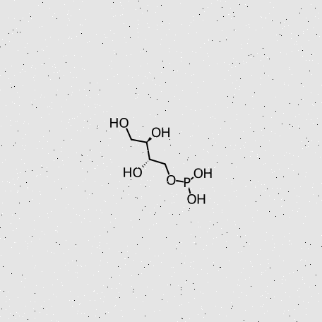 OC[C@@H](O)[C@@H](O)COP(O)O